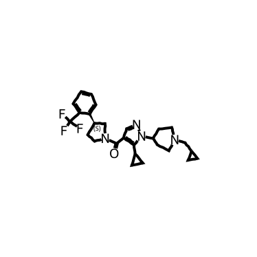 O=C(c1cnn(C2CCN(CC3CC3)CC2)c1C1CC1)N1CC[C@@H](c2ccccc2C(F)(F)F)C1